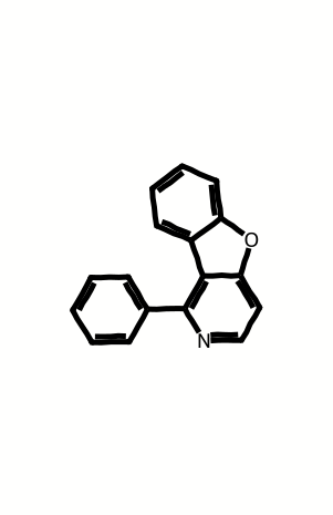 c1ccc(-c2nccc3oc4ccccc4c23)cc1